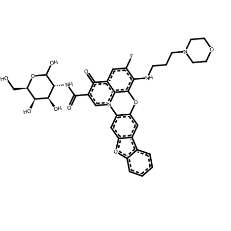 O=C(N[C@H]1C(O)O[C@H](CO)[C@H](O)[C@@H]1O)c1cn2c3c(c(NCCCN4CCOCC4)c(F)cc3c1=O)Oc1cc3c(cc1-2)oc1ccccc13